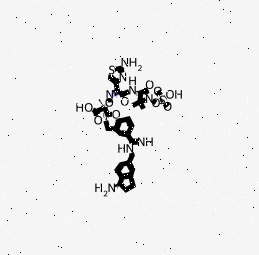 CC1(C)[C@H](NC(=O)/C(=N\O[C@](C)(C(=O)O)[C@H]2CCc3cc(C(=N)NCc4ccc5c(c4)CC[C@H]5N)ccc3O2)c2csc(N)n2)C(=O)N1OS(=O)(=O)O